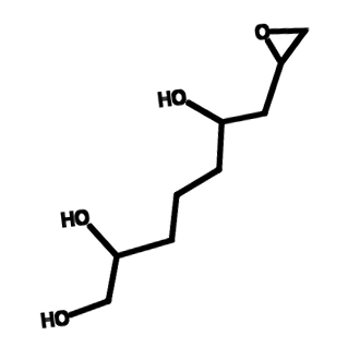 OCC(O)CCCC(O)CC1CO1